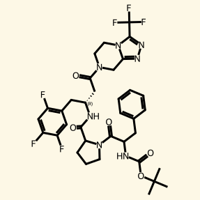 CC(C)(C)OC(=O)NC(Cc1ccccc1)C(=O)N1CCCC1C(=O)N[C@@H](CC(=O)N1CCn2c(nnc2C(F)(F)F)C1)Cc1cc(F)c(F)cc1F